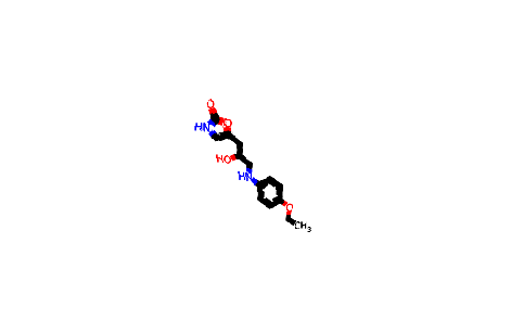 CCOc1ccc(NCC(O)Cc2c[nH]c(=O)o2)cc1